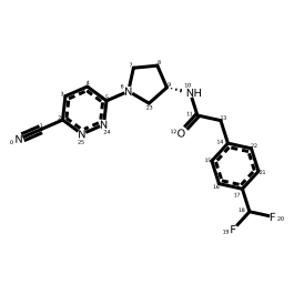 N#Cc1ccc(N2CC[C@H](NC(=O)Cc3ccc(C(F)F)cc3)C2)nn1